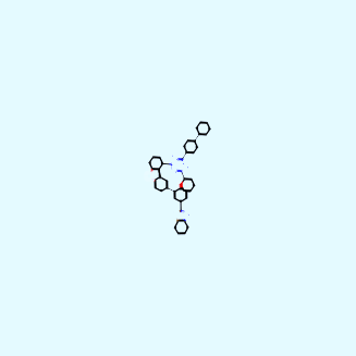 c1ccc(-c2ccc(-c3nc(-c4ccccc4)nc(-c4cccc5oc6ccc(-c7cccc(-c8nc9ccccc9s8)c7)cc6c45)n3)cc2)cc1